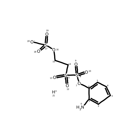 Nc1ccccc1OS(=O)(=O)S(=O)(=O)CCOS(=O)(=O)[O-].[H+]